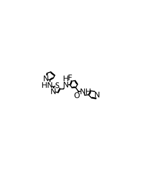 O=C(NCc1ccncc1)c1ccc(F)c(NCc2cnc(Nc3ccccn3)s2)c1